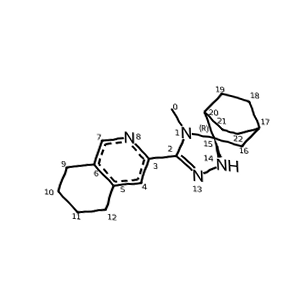 CN1C(c2cc3c(cn2)CCCC3)=NN[C@@]12CC1CCC2CC1